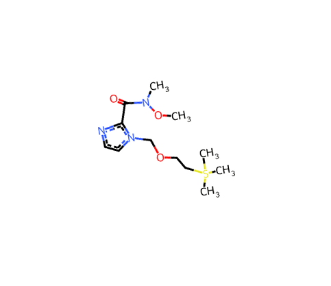 CON(C)C(=O)c1nccn1COCCS(C)(C)C